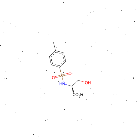 Cc1ccc(S(=O)(=O)N[C@@H](CO)C(=O)O)cc1